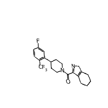 O=C(C1=NCC2=C1CCCC2)N1CCC(c2cc(F)ccc2C(F)(F)F)CC1